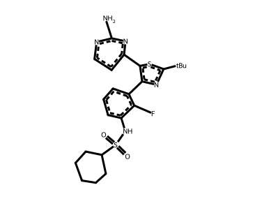 CC(C)(C)c1nc(-c2cccc(NS(=O)(=O)C3CCCCC3)c2F)c(-c2ccnc(N)n2)s1